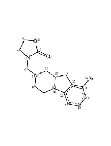 O=C1OCCN1CN1CCN2c3cccc(Br)c3CC2C1